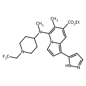 CCOC(=O)c1cc2c(-c3ccn[nH]3)ccn2c(N(C)C2CCN(CC(F)(F)F)CC2)c1C